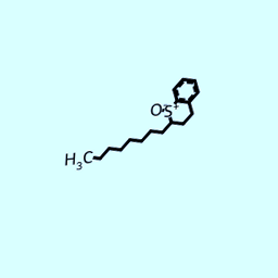 CCCCCCCCC1CCc2ccccc2[S+]1[O-]